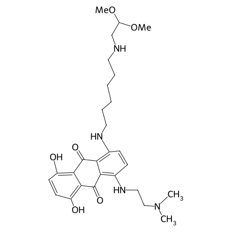 COC(CNCCCCCCNc1ccc(NCCN(C)C)c2c1C(=O)c1c(O)ccc(O)c1C2=O)OC